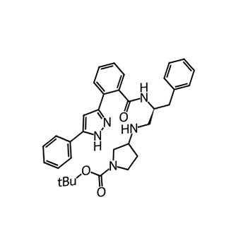 CC(C)(C)OC(=O)N1CCC(NC[C@H](Cc2ccccc2)NC(=O)c2ccccc2-c2cc(-c3ccccc3)[nH]n2)C1